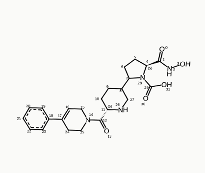 O=C(NO)[C@@H]1CCC(C2CC[C@@H](C(=O)N3CC=C(c4ccccc4)CC3)NC2)N1C(=O)O